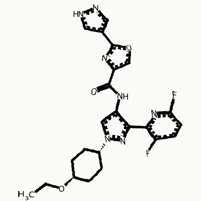 CCO[C@H]1CC[C@H](n2cc(NC(=O)c3coc(-c4cn[nH]c4)n3)c(-c3nc(F)ccc3F)n2)CC1